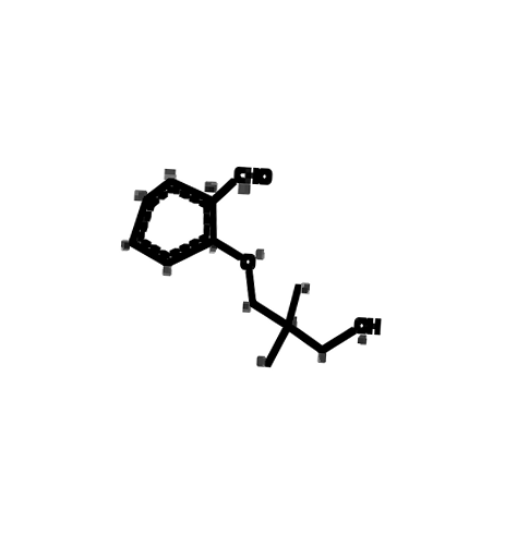 CC(C)(CO)COc1ccccc1C=O